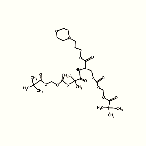 CC(C)(C)C(=O)OCOC(=O)SC[C@H](NC(=O)C(C)(C)SC(=O)OCOC(=O)C(C)(C)C)C(=O)OCCCN1CCOCC1